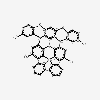 Cc1ccc2c(c1)B1c3cc(C)cc4c3N3c5c(cc(C)cc5[Si]4(c4ccccc4)c4ccccc4)B4c5cc(C)ccc5Oc5cc(c1c3c54)O2